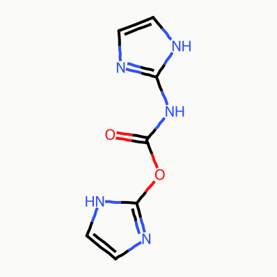 O=C(Nc1ncc[nH]1)Oc1ncc[nH]1